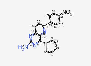 Nc1nc(-c2ccccc2)c2nc(-c3ccc([N+](=O)[O-])cc3)ccc2n1